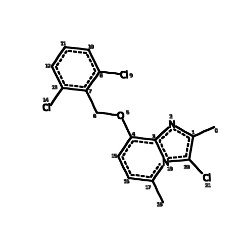 Cc1nc2c(OCc3c(Cl)cccc3Cl)ccc(C)n2c1Cl